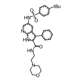 CC(C)(C)c1ccc(S(=O)(=O)Nc2cnc3[nH]c(C(=O)NCCN4CCOCC4)c(-c4ccccc4)c3c2)cc1